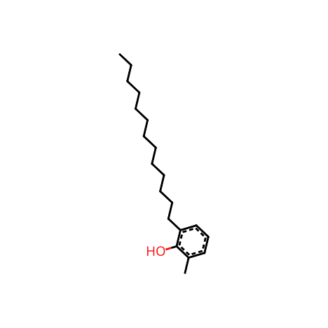 CCCCCCCCCCCCCc1cccc(C)c1O